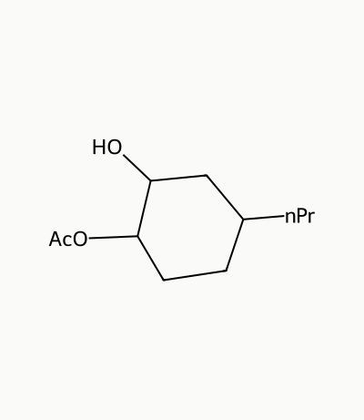 CCCC1CCC(OC(C)=O)C(O)C1